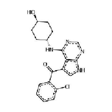 O=C(c1ccccc1Cl)c1c[nH]c2ncnc(N[C@H]3CC[C@H](O)CC3)c12